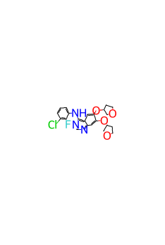 Fc1c(Cl)cccc1Nc1ncnc2cc(O[C@H]3CCOC3)c(O[C@H]3CCOC3)cc12